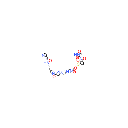 O=C(/C=C/c1cccnc1)NCCCCC1CCN(C(=O)c2ccc(N3CCC(N4CCN(C(=O)COCCSc5cccc6c5C(=O)N(C5CCC(=O)NC5=O)C6=O)CC4)CC3)nc2)CC1